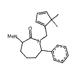 CNC1CCCC(c2ccccc2)N(CC2=CC=CC2(C)C)C1=O